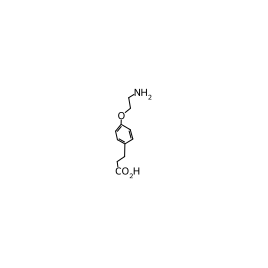 NCCOc1ccc(CCC(=O)O)cc1